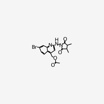 CC(=O)OCc1cc(NN2C(=O)C(C)C(C)C2=O)nc2cc(Br)ccc12